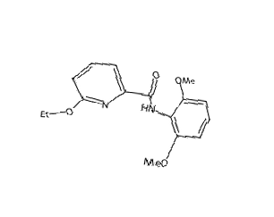 CCOc1cccc(C(=O)Nc2c(OC)cccc2OC)n1